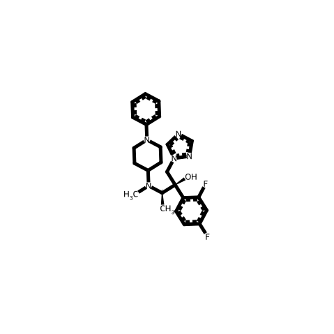 C[C@@H](N(C)C1CCN(c2ccccc2)CC1)[C@](O)(Cn1cncn1)c1ccc(F)cc1F